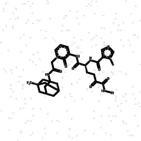 CCNC(=O)C(=O)CC[C@H](NC(=O)c1cncn1C)C(=O)Nc1cccn(CC(=O)NC23CC4CC(C2)CC(C(F)(F)F)(C4)C3)c1=O